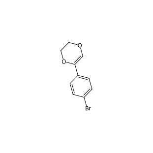 Brc1ccc(C2=COCCO2)cc1